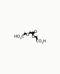 O=C(O)COCC(=O)OCC(=O)O